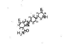 NC(=O)c1ccc(F)c2cn(-c3ccc([C@@H]4CNC[C@@H](F)C4)cc3)nc12